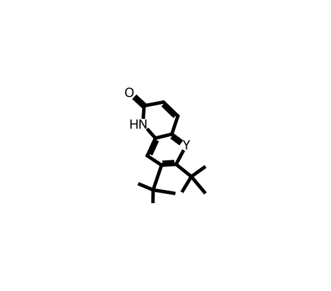 CC(C)(C)C1=[C](C(C)(C)C)[Y]=[c]2ccc(=O)[nH]c2=C1